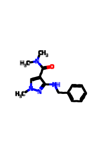 CN(C)C(=O)c1cn(C)nc1NCc1ccccc1